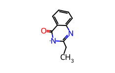 CCC1=Nc2ccccc2C(=O)[N]1